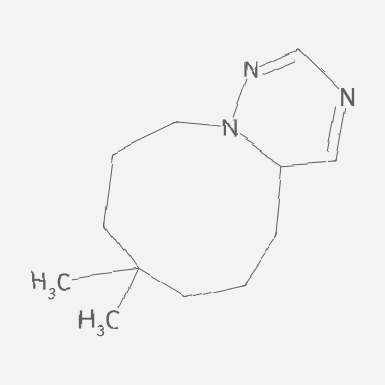 CC1(C)CCCC2C=NC=NN2CCC1